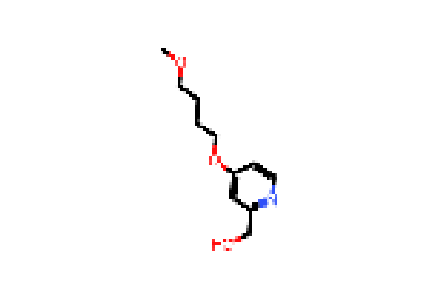 COCCCCOc1ccnc(CO)c1